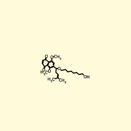 COc1cc(C(CC=C(C)C)OCCCCCCCCO)c(OC)c2c1C(=O)C=CC2=O